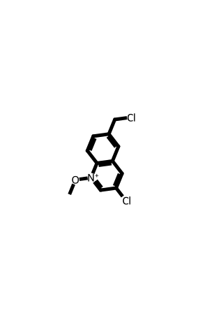 CO[n+]1cc(Cl)cc2cc(CCl)ccc21